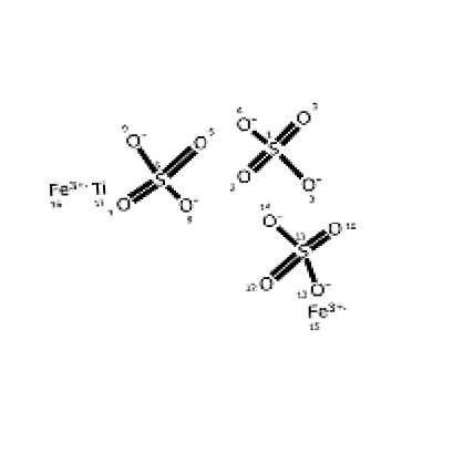 O=S(=O)([O-])[O-].O=S(=O)([O-])[O-].O=S(=O)([O-])[O-].[Fe+3].[Fe+3].[Ti]